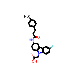 Cc1ccc(CCC(=O)N[C@H]2CCc3c(c4cc(F)ccc4n3CC(=O)O)C2)cc1